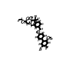 CCOC(=O)CN(Cc1cccc(COc2ccc(-c3cc(F)c(F)cc3OC)cc2)c1)C(=O)C(C)(C)C